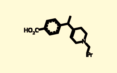 CC(C)CN1CC=C(C(C)c2ccc(C(=O)O)cc2)CC1